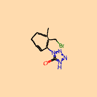 CC1=CCC=CC(n2nn[nH]c2=O)=C1CBr